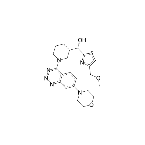 COCc1csc([C@@H](O)[C@H]2CCCN(c3nnnc4cc(N5CCOCC5)ccc34)C2)n1